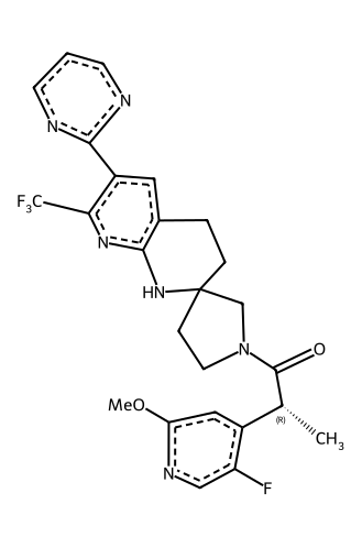 COc1cc([C@@H](C)C(=O)N2CCC3(CCc4cc(-c5ncccn5)c(C(F)(F)F)nc4N3)C2)c(F)cn1